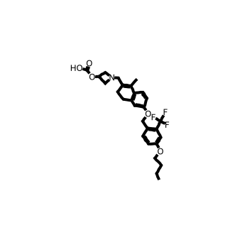 CCCCOc1ccc(COc2ccc3c(c2)CCC(CN2CC(OC(=O)O)C2)=C3C)c(C(F)(F)F)c1